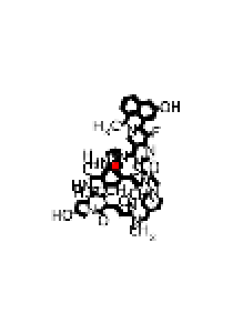 CCc1cccc2cc(O)cc(-c3ncc4c(N5CC6CCCC5CN6)nc(OCCN5CCC(CN(C)c6cc([C@@H](C(=O)N7C[C@H](O)C[C@H]7C(=O)N[C@@H](C)c7ccc(-c8scnc8C)cc7)C(C)C)on6)CC5)nc4c3F)c12